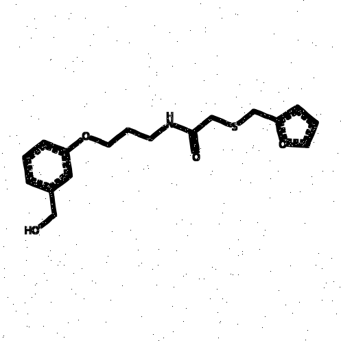 O=C(CSCc1ccco1)NCCCOc1cccc(CO)c1